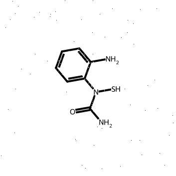 NC(=O)N(S)c1ccccc1N